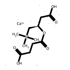 C[N+](C)(C)C[C@@H](CC(=O)O)OC(=O)CCC(=O)O.[Ca+2]